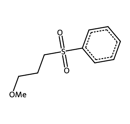 COCCCS(=O)(=O)c1ccccc1